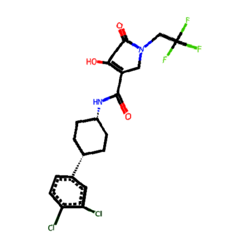 O=C(N[C@H]1CC[C@@H](c2ccc(Cl)c(Cl)c2)CC1)C1=C(O)C(=O)N(CC(F)(F)F)C1